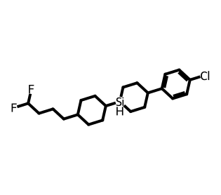 FC(F)CCCC1CCC([SiH]2CCC(c3ccc(Cl)cc3)CC2)CC1